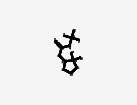 C[Si](C)(C)OC(=O)CN1CCC[Si]1(C)C